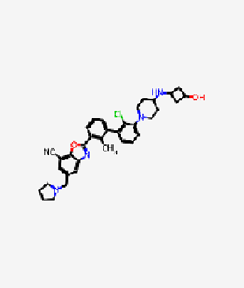 Cc1c(-c2nc3cc(CN4CCCC4)cc(C#N)c3o2)cccc1-c1cccc(N2CCC(NC3CC(O)C3)CC2)c1Cl